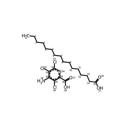 CCCCCCCCCCCCCCCC(=O)O.Nc1c(Cl)c(Cl)nc(C(=O)O)c1Cl